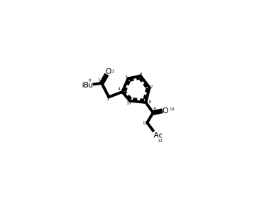 CCC(C)C(=O)Cc1cccc(C(=O)CC(C)=O)c1